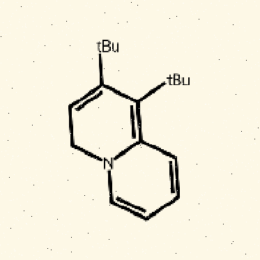 CC(C)(C)C1=CCN2C=CC=CC2=C1C(C)(C)C